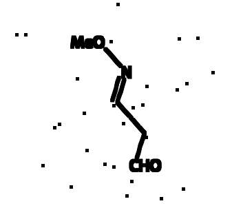 CO/N=C/CC=O